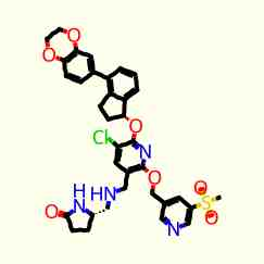 CS(=O)(=O)c1cncc(COc2nc(O[C@H]3CCc4c(-c5ccc6c(c5)OCCO6)cccc43)c(Cl)cc2CNC[C@@H]2CCC(=O)N2)c1